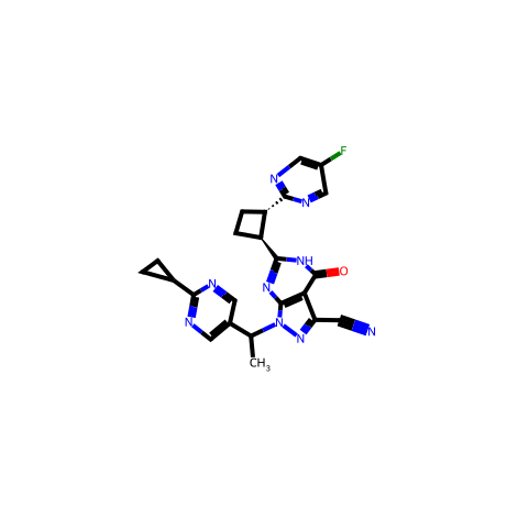 CC(c1cnc(C2CC2)nc1)n1nc(C#N)c2c(=O)[nH]c([C@H]3CC[C@@H]3c3ncc(F)cn3)nc21